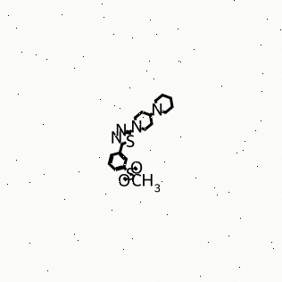 CS(=O)(=O)c1cccc(-c2nnc(N3CCC(N4CCCCC4)CC3)s2)c1